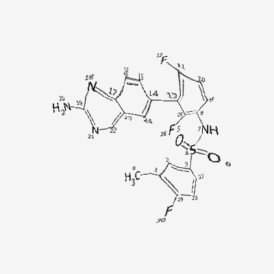 Cc1cc(S(=O)(=O)Nc2ccc(F)c(-c3ccc4nc(N)ncc4c3)c2F)ccc1F